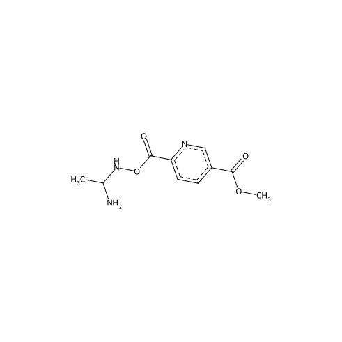 COC(=O)c1ccc(C(=O)ONC(C)N)nc1